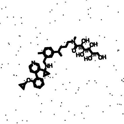 Cc1ccc(C(C)CCCN(C)C(=O)[C@@H](O)[C@@H](O)[C@H](O)[C@@H](O)CO)cc1CNC1(c2cnccc2-c2ccccc2OC2CC2)CC1